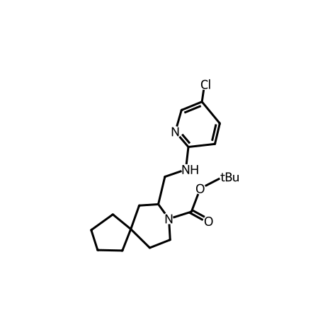 CC(C)(C)OC(=O)N1CCC2(CCCC2)CC1CNc1ccc(Cl)cn1